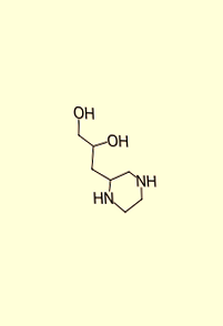 OCC(O)CC1CNCCN1